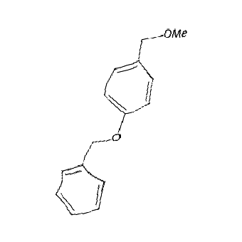 COCc1ccc(OCc2ccccc2)cc1